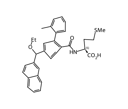 CCOC(c1ccc(C(=O)N[C@@H](CCSC)C(=O)O)c(-c2ccccc2C)c1)c1ccc2ccccc2c1